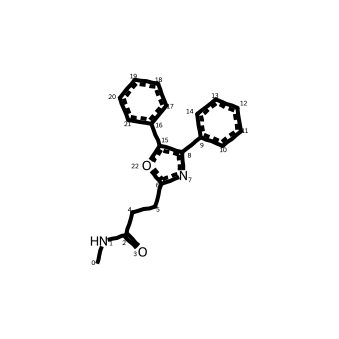 CNC(=O)CCc1nc(-c2ccccc2)c(-c2ccccc2)o1